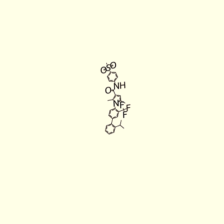 Cc1cc(C(=O)Nc2ccc(S(C)(=O)=O)cc2)c(C)n1-c1ccc(-c2ccccc2C(C)C)cc1C(F)(F)F